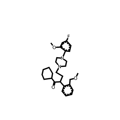 COCc1ccccc1C(CCN1CCN(c2ccc(F)cc2OC)CC1)C(=O)C1CCCCC1